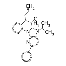 C=CCC1c2ccccc2N2c3nc(-c4ccccc4)ccc3N(C(C)C)C2C1C